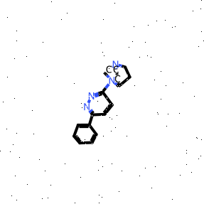 c1ccc(-c2ccc(N3CCN4CCC3CC4)nn2)cc1